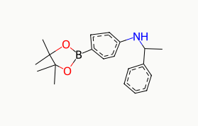 CC(Nc1ccc(B2OC(C)(C)C(C)(C)O2)cc1)c1ccccc1